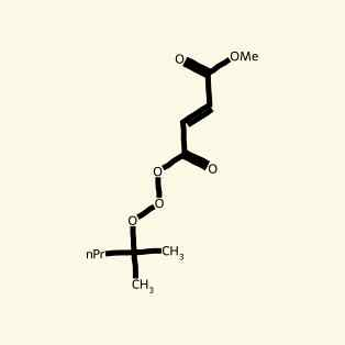 CCCC(C)(C)OOOC(=O)C=CC(=O)OC